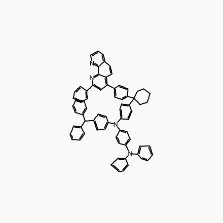 c1ccc(-c2cc(-c3ccc(C4(c5ccc(N(c6ccc(C(c7ccccc7)c7ccccc7)cc6)c6ccc(N(c7ccccc7)c7ccccc7)cc6)cc5)CCCCC4)cc3)c3ccc4cccnc4c3n2)cc1